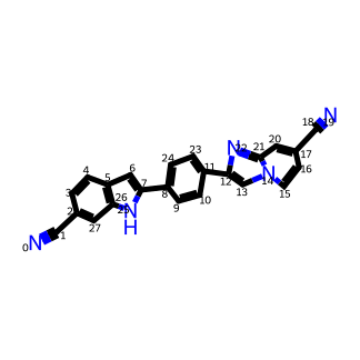 N#Cc1ccc2cc(-c3ccc(-c4cn5ccc(C#N)cc5n4)cc3)[nH]c2c1